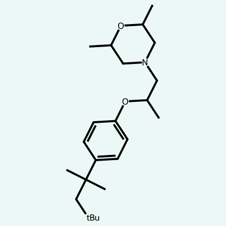 CC(CN1CC(C)OC(C)C1)Oc1ccc(C(C)(C)CC(C)(C)C)cc1